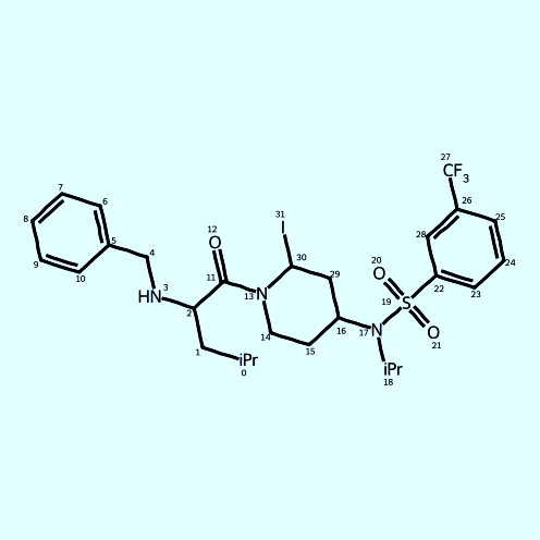 CC(C)CC(NCc1ccccc1)C(=O)N1CCC(N(C(C)C)S(=O)(=O)c2cccc(C(F)(F)F)c2)CC1I